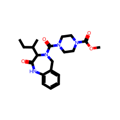 CCC(C)C1C(=O)Nc2ccccc2CN1C(=O)N1CCN(C(=O)OC)CC1